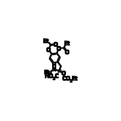 CCOC(=O)O[C@](Cc1ccc(OC(=O)CC)c(OC(=O)CC)c1)(NC(C)CC)C(=O)O